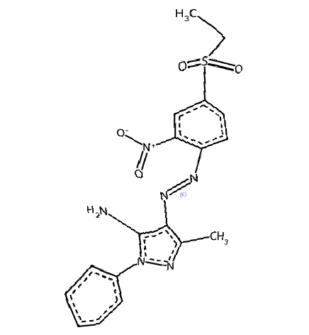 CCS(=O)(=O)c1ccc(/N=N/c2c(C)nn(-c3ccccc3)c2N)c([N+](=O)[O-])c1